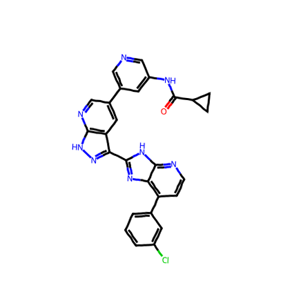 O=C(Nc1cncc(-c2cnc3[nH]nc(-c4nc5c(-c6cccc(Cl)c6)ccnc5[nH]4)c3c2)c1)C1CC1